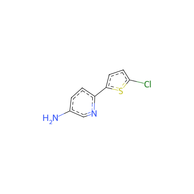 Nc1ccc(-c2ccc(Cl)s2)nc1